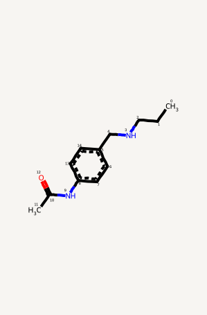 CCCNCc1ccc(NC(C)=O)cc1